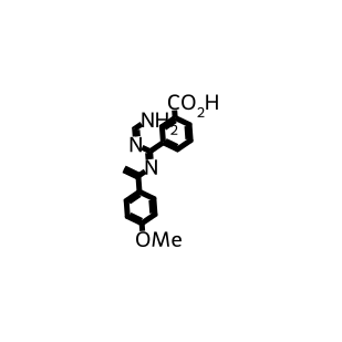 C=C(/N=C(\N=C/N)c1cccc(C(=O)O)c1)c1ccc(OC)cc1